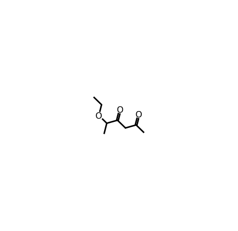 CCOC(C)C(=O)CC(C)=O